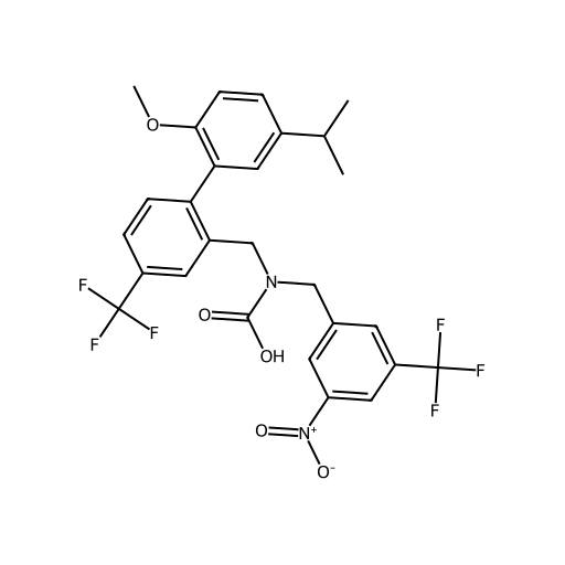 COc1ccc(C(C)C)cc1-c1ccc(C(F)(F)F)cc1CN(Cc1cc([N+](=O)[O-])cc(C(F)(F)F)c1)C(=O)O